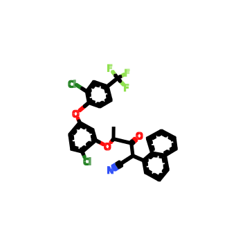 CC(Oc1cc(Oc2ccc(C(F)(F)F)cc2Cl)ccc1Cl)C(=O)C(C#N)c1cccc2ccccc12